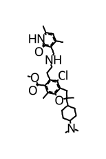 COC(=O)c1c(C)c2c(c(Cl)c1CCNCc1c(C)cc(C)[nH]c1=O)CC(C)(C1CCC(N(C)C)CC1)O2